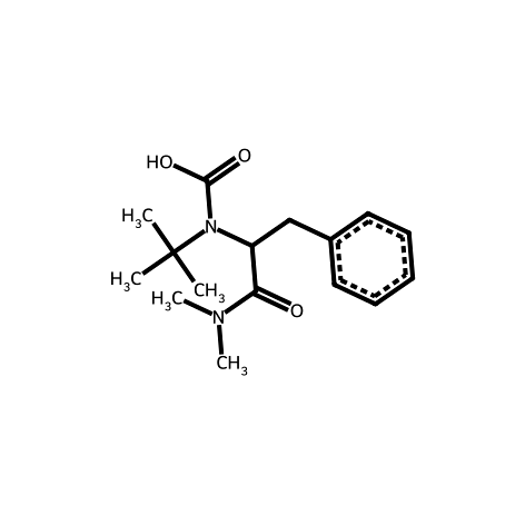 CN(C)C(=O)C(Cc1ccccc1)N(C(=O)O)C(C)(C)C